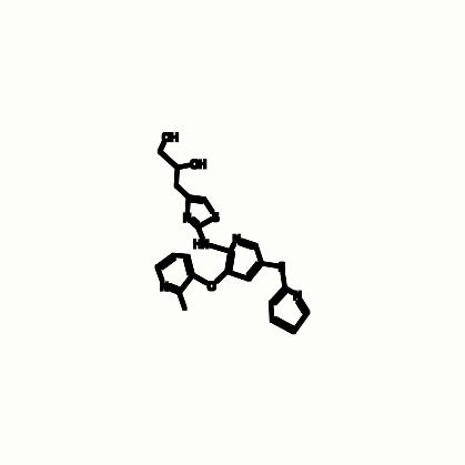 Cc1ncccc1Oc1cc(Sc2ccccn2)cnc1Nc1nc(CC(O)CO)cs1